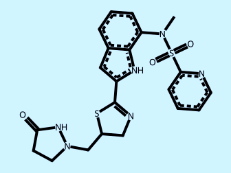 CN(c1cccc2cc(C3=NCC(CN4CCC(=O)N4)S3)[nH]c12)S(=O)(=O)c1ccccn1